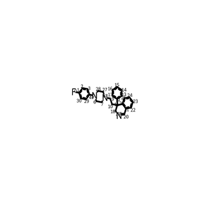 Fc1ccc(N2CCN(CCC3(c4ccccc4)CN=Cc4ccccc43)CC2)cc1